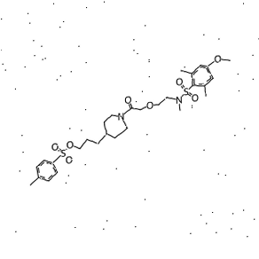 COc1cc(C)c(S(=O)(=O)N(C)CCOCC(=O)N2CCC(CCCOS(=O)(=O)c3ccc(C)cc3)CC2)c(C)c1